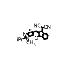 CC(C)c1nc2sc(/C=C3\C(=O)c4ccccc4C3=C(C#N)C#N)cc2n1C